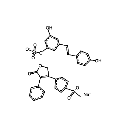 CS(=O)(=O)c1ccc(C2=C(c3ccccc3)C(=O)OC2)cc1.O=[Se](=O)([O-])Oc1cc(O)cc(/C=C/c2ccc(O)cc2)c1.[Na+]